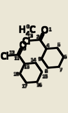 C.O=C(Cl)C1CCCCC1.O=C(Cl)C1CCCCC1